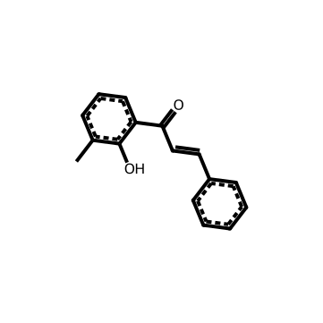 Cc1cccc(C(=O)C=Cc2ccccc2)c1O